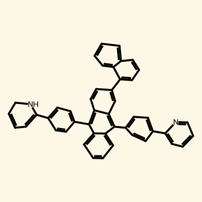 C1=CCNC(c2ccc(-c3c4ccccc4c(-c4ccc(-c5ccccn5)cc4)c4cc(-c5cccc6ccccc56)ccc34)cc2)=C1